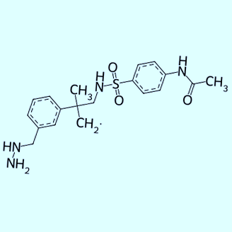 [CH2]C(C)(CNS(=O)(=O)c1ccc(NC(C)=O)cc1)c1cccc(CNN)c1